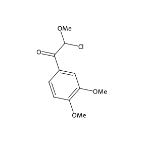 COc1ccc(C(=O)C(Cl)OC)cc1OC